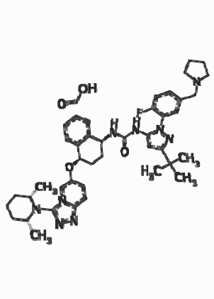 C[C@@H]1CCC[C@H](C)N1c1nnc2ccc(O[C@@H]3CC[C@H](NC(=O)Nc4cc(C(C)(C)C)nn4-c4cc(CN5CCCC5)ccc4F)c4ccccc43)cn12.O=CO